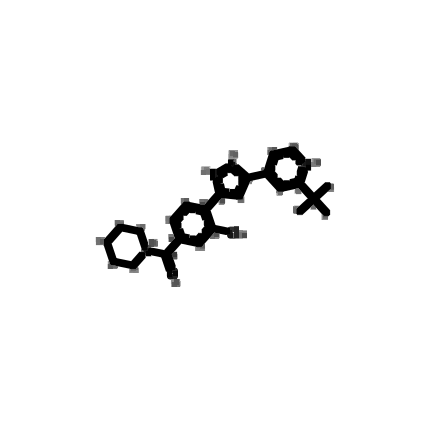 CC(C)(C)c1cc(-c2cc(-c3ccc(C(=O)N4CCCCC4)cc3Cl)ns2)ccn1